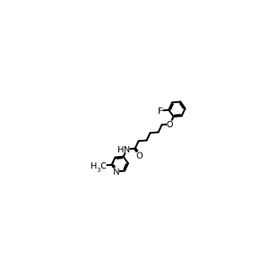 Cc1cc(NC(=O)CCCCCOc2ccccc2F)ccn1